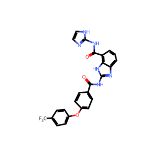 O=C(Nc1nc2cccc(C(=O)Nc3ncc[nH]3)c2[nH]1)c1ccc(Oc2ccc(C(F)(F)F)cc2)cc1